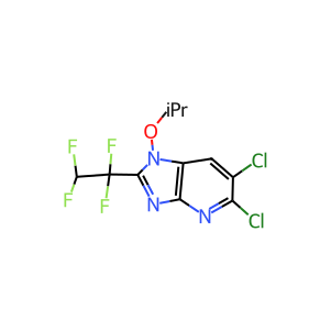 CC(C)On1c(C(F)(F)C(F)F)nc2nc(Cl)c(Cl)cc21